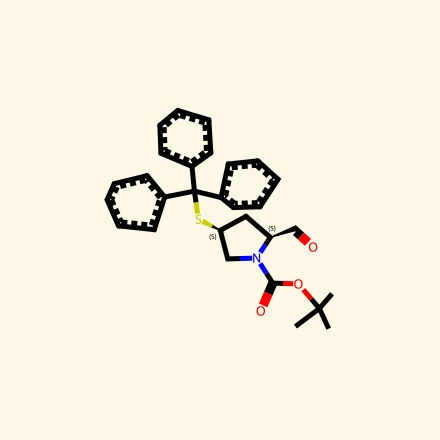 CC(C)(C)OC(=O)N1C[C@@H](SC(c2ccccc2)(c2ccccc2)c2ccccc2)C[C@H]1C=O